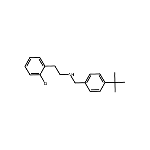 CC(C)(C)c1ccc(CNCCc2ccccc2Cl)cc1